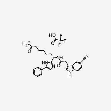 CC(=O)CCCCC[C@H](NC(=O)Cc1c[nH]c2ccc(C#N)cc12)c1ncc(-c2ccccc2)[nH]1.O=C(O)C(F)(F)F